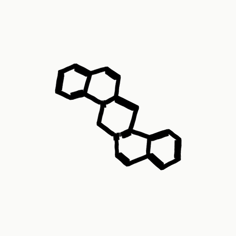 C1=Cc2ccccc2N2C[n+]3ccc4ccccc4c3C=C12